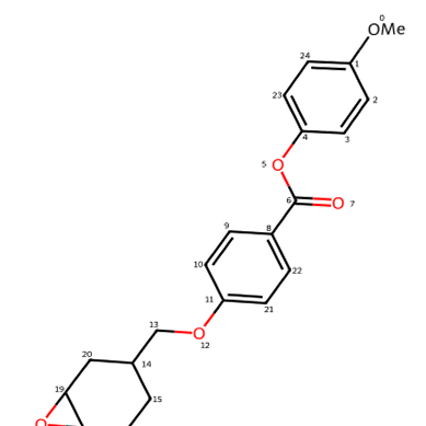 COc1ccc(OC(=O)c2ccc(OCC3CCC4OC4C3)cc2)cc1